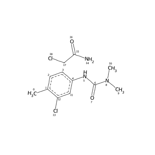 Cc1ccc(NC(=O)N(C)C)cc1Cl.NC(=O)CCl